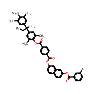 COc1c(C)cc(C(C)(CC(C)C)c2cc(C)c(OC(=O)c3ccc(C(=O)Oc4ccc5ccc(OC(=O)c6cccc(C(C)=O)c6)cc5c4)cc3)c(C)c2)cc1C